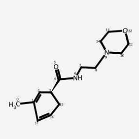 CC1=C[C@@H](C(=O)NCCN2CCOCC2)CC=C1